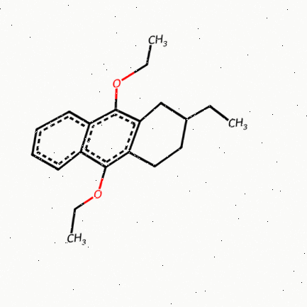 CCOc1c2c(c(OCC)c3ccccc13)CC(CC)CC2